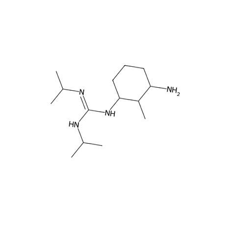 CC(C)N=C(NC(C)C)NC1CCCC(N)C1C